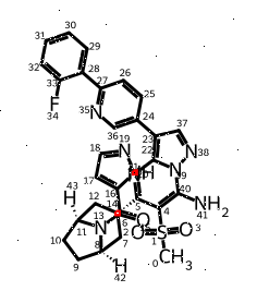 CS(=O)(=O)c1c([C@@H]2C[C@H]3CC[C@@H](C2)N3C(=O)c2ccn[nH]2)nc2c(-c3ccc(-c4ccccc4F)nc3)cnn2c1N